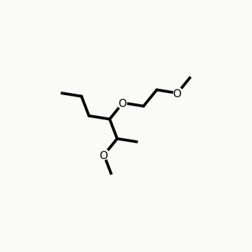 CCCC(OCCOC)C(C)OC